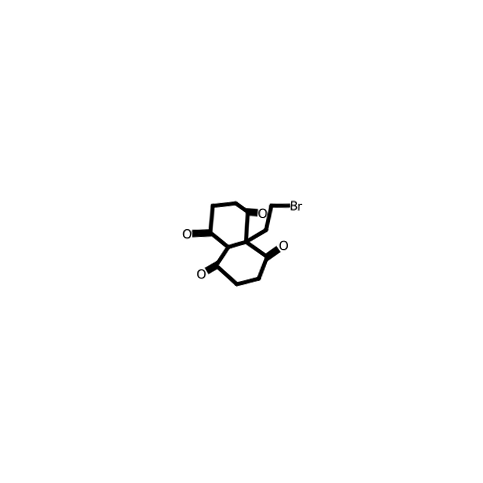 O=C1CCC(=O)C2(CCBr)C(=O)CCC(=O)C12